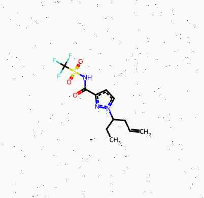 C=CCC(CC)n1ccc(C(=O)NS(=O)(=O)C(F)(F)F)n1